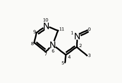 C=N/C(C)=C(/C)N1C=CC=NC1